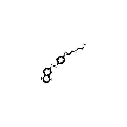 FCCOCCOc1ccc(N=Nc2ccc3nccnc3c2)cc1